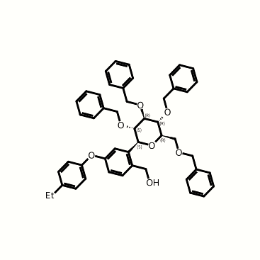 CCc1ccc(Oc2ccc(CO)c([C@@H]3O[C@H](COCc4ccccc4)[C@@H](OCc4ccccc4)[C@H](OCc4ccccc4)[C@H]3OCc3ccccc3)c2)cc1